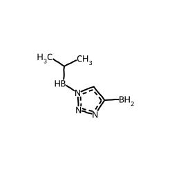 Bc1cn(BC(C)C)nn1